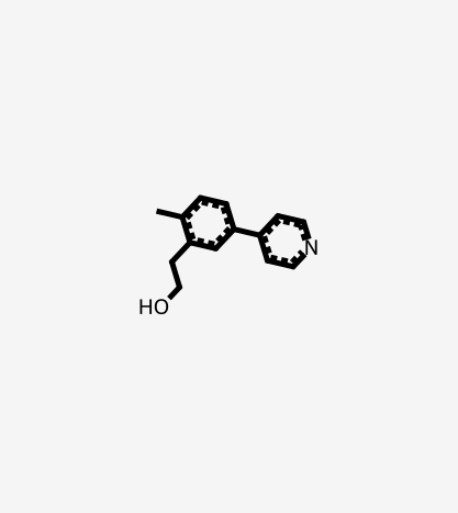 Cc1ccc(-c2ccncc2)cc1CCO